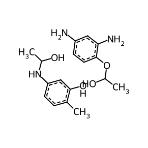 CC(O)Oc1ccc(N)cc1N.Cc1ccc(NC(C)O)cc1O